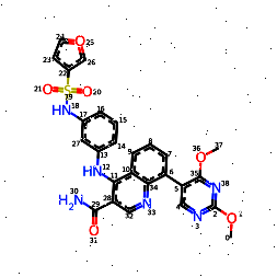 COc1ncc(-c2cccc3c(Nc4cccc(NS(=O)(=O)c5ccoc5)c4)c(C(N)=O)cnc23)c(OC)n1